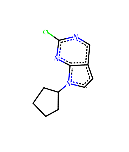 Clc1ncc2c[c]n(C3CCCC3)c2n1